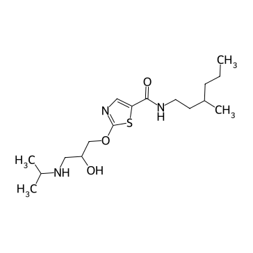 CCCC(C)CCNC(=O)c1cnc(OCC(O)CNC(C)C)s1